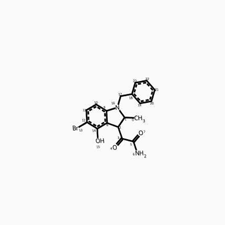 CC1C(C(=O)C(N)=O)c2c(ccc(Br)c2O)N1Cc1ccccc1